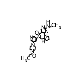 CCNc1ncc2c(n1)N1CCC[C@H]1CN(c1cncc(N3CCN(C(=O)CC)CC3)c1)C2=O